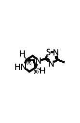 Cc1nsc(N2C[C@H]3C[C@@H]2CN3)n1